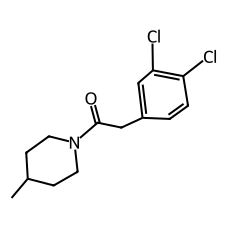 CC1CCN(C(=O)Cc2ccc(Cl)c(Cl)c2)CC1